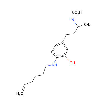 C=CCCCCNc1ccc(CCC(C)NC(=O)O)cc1O